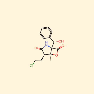 C[C@@]12OC(=O)[C@]1([C@@H](O)C1=C=C=CC=C1)NC(=O)[C@@H]2CCCl